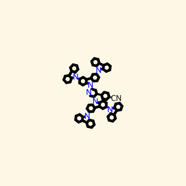 N#Cc1ccc(-c2cc(-n3c4ccc(-n5c6ccccc6c6ccccc65)cc4c4cc(-n5c6ccccc6c6ccccc65)ccc43)ncc2-n2c3ccc(-n4c5ccccc5c5ccccc54)cc3c3cc(-n4c5ccccc5c5ccccc54)ccc32)cc1